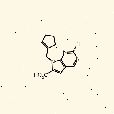 O=C(O)c1cc2cnc(Cl)nc2n1CC1=CCCC1